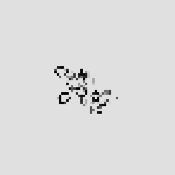 CN1C(C2CCCCC2)CN(c2ccccc2)c2cc(Cl)c(-c3cc(N)c(C(=O)O)s3)cc2S1(O)O.Cl